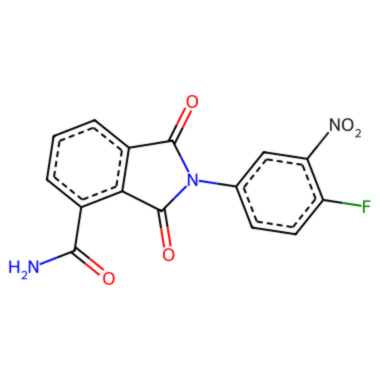 NC(=O)c1cccc2c1C(=O)N(c1ccc(F)c([N+](=O)[O-])c1)C2=O